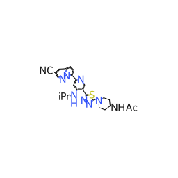 CC(=O)NC1CCN(c2nnc(-c3cnc(-c4ccc5cc(C#N)cnn45)cc3NC(C)C)s2)CC1